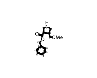 COCC1CNCC1C(=O)OCc1ccccc1